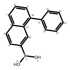 OB(O)c1ccc2cccc(-c3ccccc3)c2c1